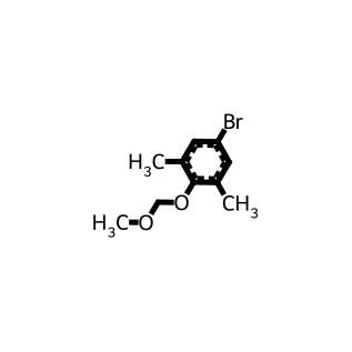 COCOc1c(C)cc(Br)cc1C